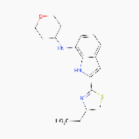 O=C(O)CC1CSC(c2cc3cccc(NC4CCOCC4)c3[nH]2)=N1